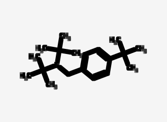 CC(C)(C)c1ccc(CN(C(C)(C)C)C(C)(C)C)cc1